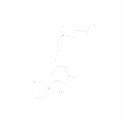 CCCCC(CC)COC(=O)CCSc1cc(F)cc(C2(OC)CCOCC2)c1